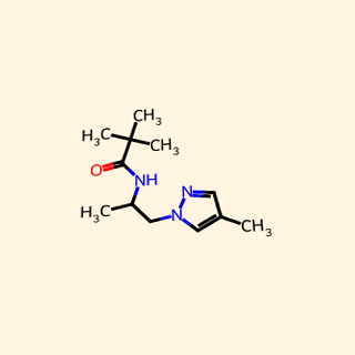 Cc1cnn(CC(C)NC(=O)C(C)(C)C)c1